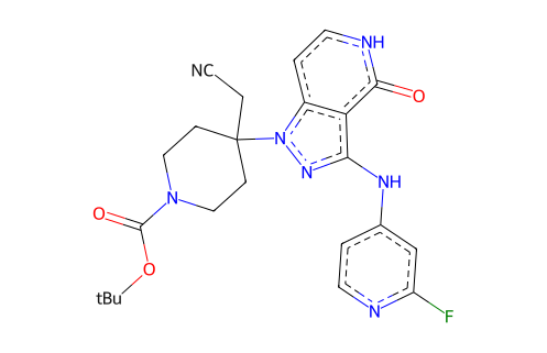 CC(C)(C)OC(=O)N1CCC(CC#N)(n2nc(Nc3ccnc(F)c3)c3c(=O)[nH]ccc32)CC1